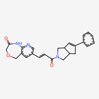 O=C1COCc2cc(/C=C/C(=O)N3CC4C=C(c5ccccc5)CC4C3)cnc2N1